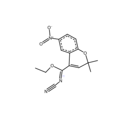 CCO/C(=N\C#N)C1=CC(C)(C)Oc2ccc([N+](=O)[O-])cc21